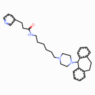 O=C(CCc1cccnc1)NCCCCCCN1CCN(C2c3ccccc3CCc3ccccc32)CC1